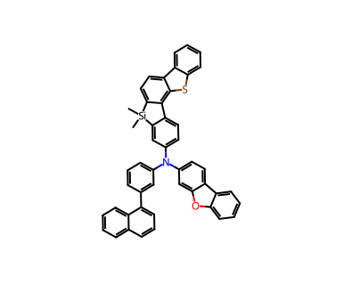 C[Si]1(C)c2cc(N(c3cccc(-c4cccc5ccccc45)c3)c3ccc4c(c3)oc3ccccc34)ccc2-c2c1ccc1c2sc2ccccc21